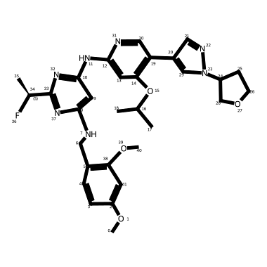 COc1ccc(CNc2cc(Nc3cc(OC(C)C)c(-c4cnn(C5CCOC5)c4)cn3)nc([C@H](C)F)n2)c(OC)c1